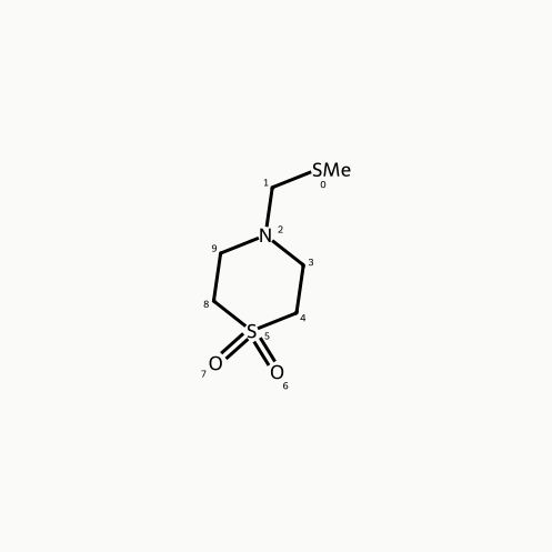 CSCN1CCS(=O)(=O)CC1